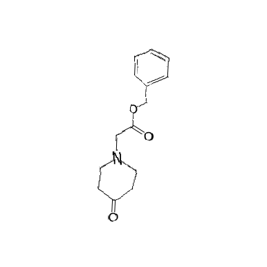 O=C1CCN(CC(=O)OCc2ccccc2)CC1